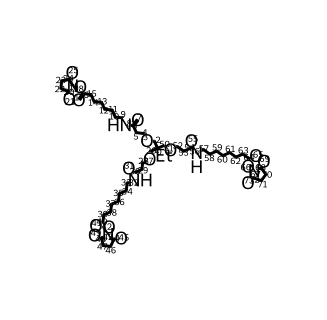 CCC(COCCC(=O)NCCCCCCCC(=O)ON1C(=O)CCC1=O)(COCCC(=O)NCCCCCCCC(=O)ON1C(=O)CCC1=O)COCCC(=O)NCCCCCCCC(=O)ON1C(=O)CCC1=O